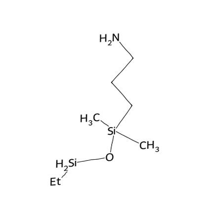 CC[SiH2]O[Si](C)(C)CCCN